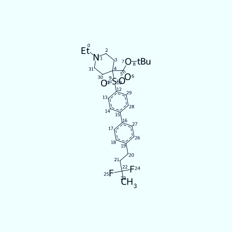 CCN1CCC(C(=O)OC(C)(C)C)(S(=O)(=O)c2ccc(-c3ccc(CCC(C)(F)F)cc3)cc2)CC1